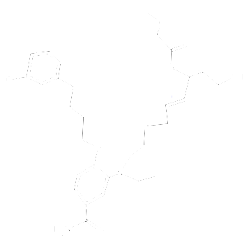 CCN(CCCC/C=C/C(OC(=O)COC)[C@H](C)CS)c1cc(C(N)=O)ccc1OCCCCc1cccc(Cl)c1